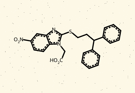 O=C(O)Cn1c(SCCC(c2ccccc2)c2ccccc2)nc2cc([N+](=O)[O-])ccc21